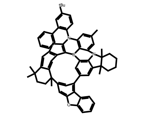 Cc1cc2c3c(c1)N1c4c5cc(cc4C4(C)CCCCC14C)-c1cc(cc4oc6ccccc6c14)C1(C)CCC(C)(C)c4cc6sc(c(c6cc41)B53)N2c1ccc(C(C)(C)C)cc1-c1ccccc1